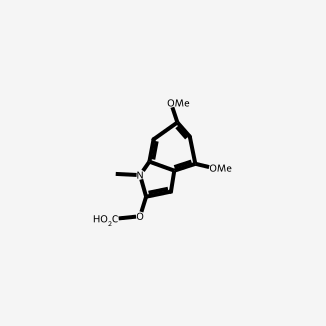 COc1cc(OC)c2cc(OC(=O)O)n(C)c2c1